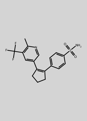 Cc1ncc(C2=C(c3ccc(S(N)(=O)=O)cc3)CCC2)cc1C(F)(F)F